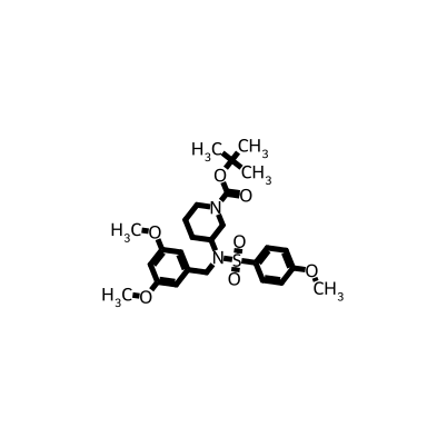 COc1ccc(S(=O)(=O)N(Cc2cc(OC)cc(OC)c2)C2CCCN(C(=O)OC(C)(C)C)C2)cc1